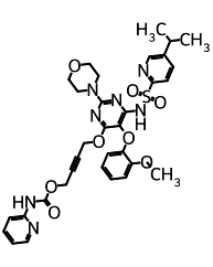 COc1ccccc1Oc1c(NS(=O)(=O)c2ccc(C(C)C)cn2)nc(N2CCOCC2)nc1OCC#CCOC(=O)Nc1ccccn1